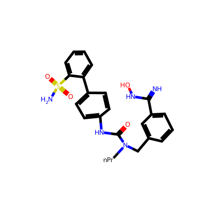 CCCN(Cc1cccc(C(=N)NO)c1)C(=O)Nc1ccc(-c2ccccc2S(N)(=O)=O)cc1